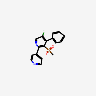 CS(=O)(=O)c1c(-c2ccncc2)ncc(Cl)c1-c1ccccc1